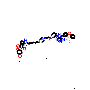 Nc1ncnc2c1c(-c1ccc(Oc3ccccc3)cc1)nn2[C@@H]1CCCN(C(=O)CCCN2CCN(CCCCCCCCNc3cccc4c3C(=O)N(C3CCC(=O)CCC3=O)C4=O)CC2)C1